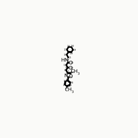 Cc1ccc(-c2nc(CC(=O)CC(=O)NCCC3=CCCCC3)c(C)o2)cc1